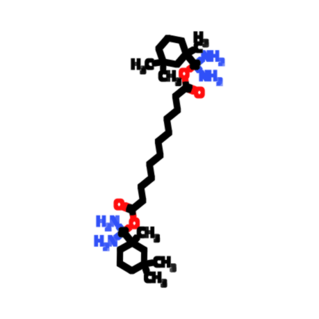 CC1(C)CCCC(C)(C(N)(N)OC(=O)CCCCCCCCCCC(=O)OC(N)(N)C2(C)CCCC(C)(C)C2)C1